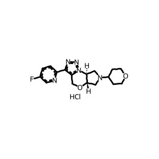 Cl.Fc1ccc(-c2nnn3c2CO[C@H]2CN(C4CCOCC4)C[C@@H]23)nc1